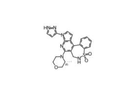 C[C@@H]1COCCN1c1nc2c(ccn2-c2cc[nH]n2)c2c1CNS(=O)(=O)c1ccccc1-2